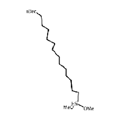 CCCCCCCCCCCCCCCCCCCCCCC[SiH](OC)OC